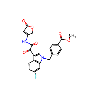 COC(=O)c1ccc(Cn2cc(C(=O)C(=O)NC3=CC(=O)OC3)c3ccc(F)cc32)cc1